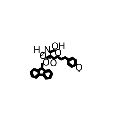 COc1ccc(CCCC(=O)[C@@H](C(=O)OCC2c3ccccc3-c3ccccc32)C(N)C(=O)O)cc1